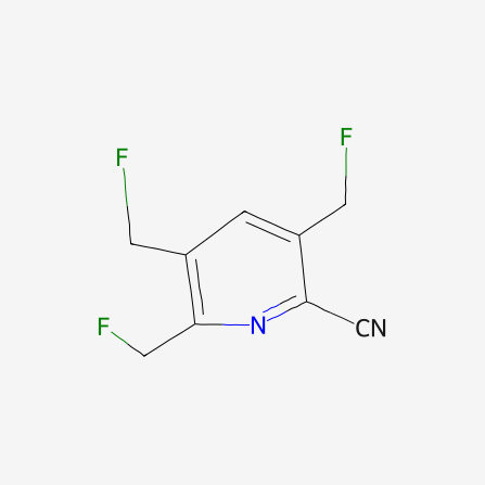 N#Cc1nc(CF)c(CF)cc1CF